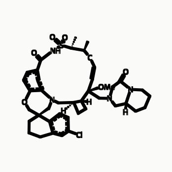 CO[C@]1(CN2CC(=O)N3CCCC[C@@H]3C2)/C=C/C[C@H](C)[C@@H](C)S(=O)(=O)NC(=O)c2ccc3c(c2)N(C[C@@H]2CC[C@H]21)C[C@@]1(CCCc2cc(Cl)ccc21)CO3